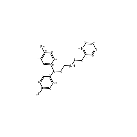 Fc1ccc(C(CCNCCc2cnccn2)c2ccc(F)cc2)cc1